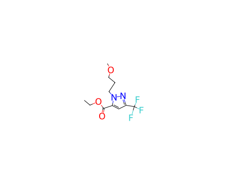 CCOC(=O)c1cc(C(F)(F)F)nn1CCCOC